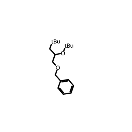 CC(C)(C)CC(COCc1ccccc1)OC(C)(C)C